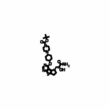 CC(C)(C)OC(=O)N1CCN([C@H]2CC[C@H](Oc3ncnc4sc5c(c34)[C@@H](C[C@@H](O)C(N)=O)CC5)CC2)CC1